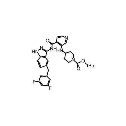 CC(C)(C)OC(=O)N1CCC(Nc2cnccc2C(=O)Nc2n[nH]c3ccc(Cc4cc(F)cc(F)c4)cc23)CC1